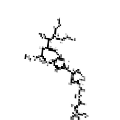 CCCN(CCC)C(=O)C1=Cc2sc(-c3cnn(COCC[Si](C)(C)C)c3)cc2N=C(N)C1